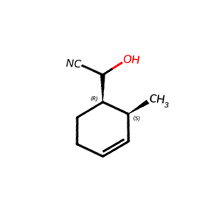 C[C@H]1C=CCC[C@H]1C(O)C#N